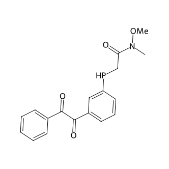 CON(C)C(=O)CPc1cccc(C(=O)C(=O)c2ccccc2)c1